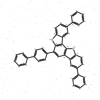 c1ccc(-c2ccc(-c3cc4c5cc(-c6ccccc6)ccc5oc4c4c3oc3ccc(-c5ccccc5)cc34)cc2)cc1